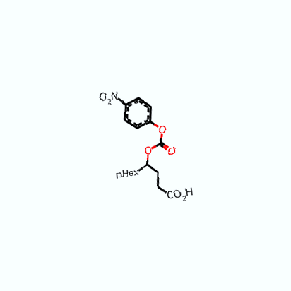 CCCCCCC(CCC(=O)O)OC(=O)Oc1ccc([N+](=O)[O-])cc1